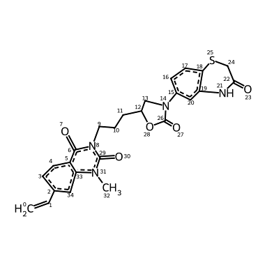 C=Cc1ccc2c(=O)n(CCCC3CN(c4ccc5c(c4)NC(=O)CS5)C(=O)O3)c(=O)n(C)c2c1